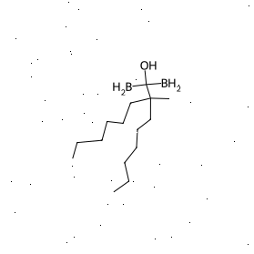 BC(B)(O)C(C)(CCCCCC)CCCCCC